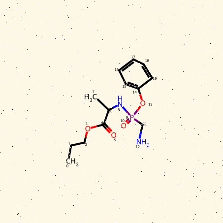 CCCOC(=O)C(C)NP(=O)(CN)Oc1ccccc1